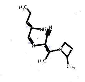 CC/C=C(N)/C=N\C(C#N)=C(/C)N1CCC1C